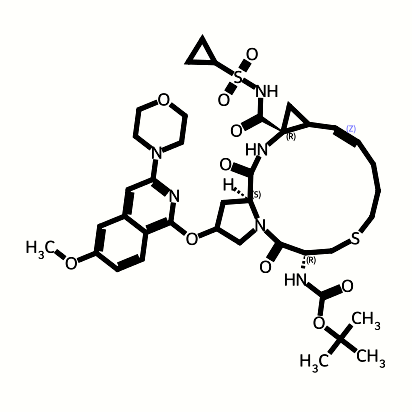 COc1ccc2c(OC3C[C@H]4C(=O)N[C@]5(C(=O)NS(=O)(=O)C6CC6)CC5/C=C\CCCSC[C@H](NC(=O)OC(C)(C)C)C(=O)N4C3)nc(N3CCOCC3)cc2c1